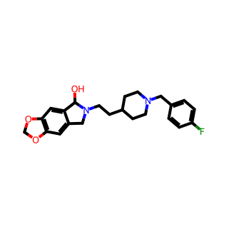 OC1c2cc3c(cc2CN1CCC1CCN(Cc2ccc(F)cc2)CC1)OCO3